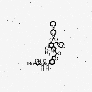 Cc1cc(OC(=O)N2CCC(N3CCCCC3)CC2)c(CN2CCOCC2)c2cc(C(=O)c3cc4cc(NC(=O)Nc5cc(C(C)(C)C)on5)ccc4o3)[nH]c12